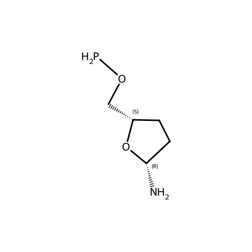 N[C@H]1CC[C@@H](COP)O1